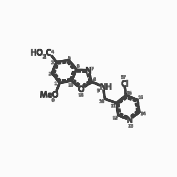 COc1cc(C(=O)O)cc2nc(NCc3cnccc3Cl)oc12